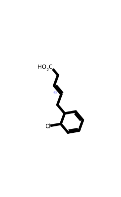 O=C(O)C/C=C/CC1C=CC=CC1Cl